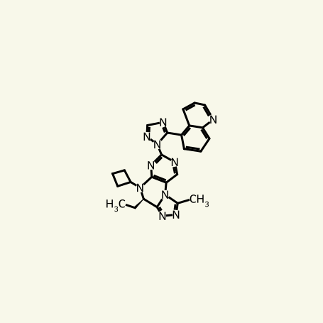 CC[C@@H]1c2nnc(C)n2-c2cnc(-n3ncnc3-c3cccc4ncccc34)nc2N1C1CCC1